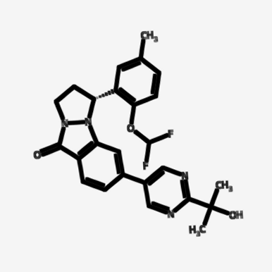 Cc1ccc(OC(F)F)c([C@H]2CCn3c(=O)c4ccc(-c5cnc(C(C)(C)O)nc5)cc4n32)c1